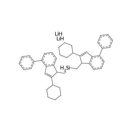 C1=C(C2CCCCC2)C(C[SiH2]CC2C(C3CCCCC3)=Cc3c(-c4ccccc4)cccc32)c2cccc(-c3ccccc3)c21.[LiH].[LiH]